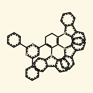 c1ccc(-c2cc(C3=C(n4c5ccccc5c5ccccc54)C(n4c5ccccc5c5ccccc54)=C(n4c5ccccc5c5ccccc54)CC3)nc(-c3ccccc3)n2)cc1